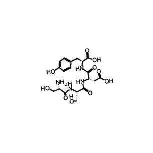 N[C@@H](CO)C(=O)N[C@@H](CO)C(=O)N[C@@H](CC(=O)O)C(=O)N[C@@H](Cc1ccc(O)cc1)C(=O)O